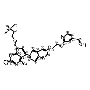 C[Si](C)(C)CCOCn1cc(-c2ccc3ncc(OCCOc4cc(CO)ccn4)cc3c2)c2c(Cl)nc(Cl)nc21